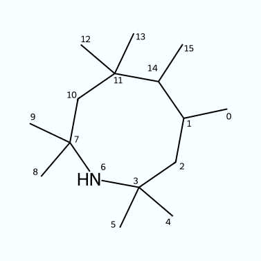 CC1CC(C)(C)NC(C)(C)CC(C)(C)C1C